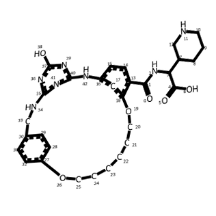 O=C(NC(C(=O)O)C1CCCNC1)c1ccc2cc1OCCCCCCOc1ccc(cc1)CNc1nc(O)nc(n1)N2